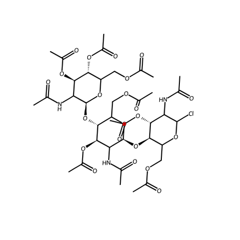 CC(=O)NC1C(Cl)OC(COC(C)=O)[C@@H](O[C@@H]2OC(COC(C)=O)[C@@H](O[C@@H]3OC(COC(C)=O)[C@@H](OC(C)=O)[C@H](OC(C)=O)C3NC(C)=O)[C@H](OC(C)=O)C2NC(C)=O)[C@@H]1OC(C)=O